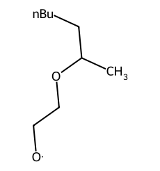 CCCCCC(C)OCC[O]